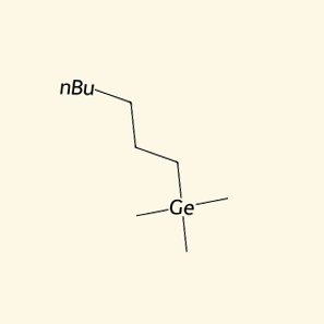 [CH2]CCCCC[CH2][Ge]([CH3])([CH3])[CH3]